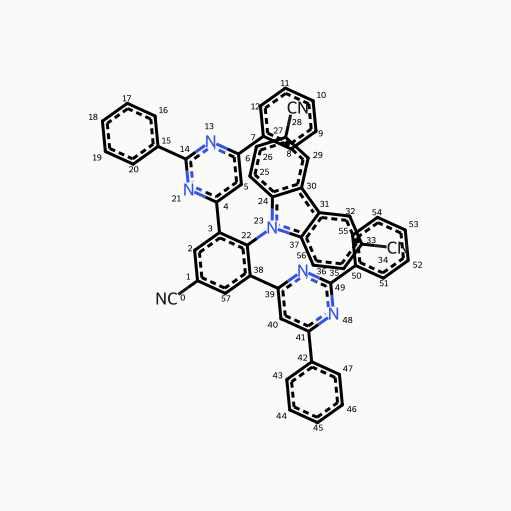 N#Cc1cc(-c2cc(-c3ccccc3)nc(-c3ccccc3)n2)c(-n2c3ccc(C#N)cc3c3cc(C#N)ccc32)c(-c2cc(-c3ccccc3)nc(-c3ccccc3)n2)c1